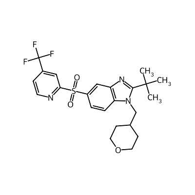 CC(C)(C)c1nc2cc(S(=O)(=O)c3cc(C(F)(F)F)ccn3)ccc2n1CC1CCOCC1